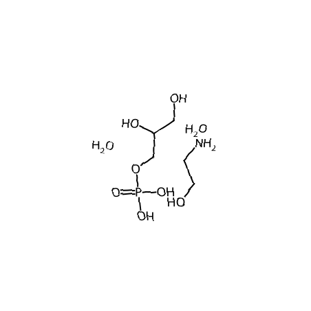 NCCO.O.O.O=P(O)(O)OCC(O)CO